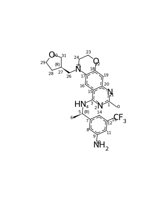 Cc1nc(N[C@H](C)c2cc(N)cc(C(F)(F)F)c2)c2cc3c(cc2n1)OCCN3C[C@H]1CCOC1